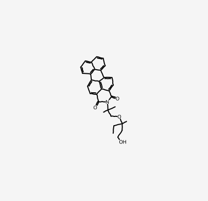 CCC(C)(CCO)OCC(C)(C)N1C(=O)c2ccc3c4cccc5cccc(c6ccc(c2c36)C1=O)c54